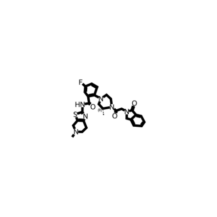 C[C@@H]1CN(c2ccc(F)cc2C(=O)Nc2nc3c(s2)CN(C)CC3)CCN1C(=O)CN1Cc2ccccc2C1=O